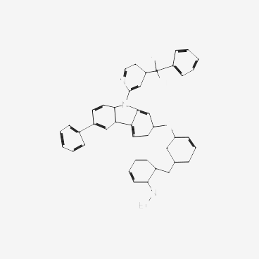 CCNC1C=CCCC1CC1CC=CC(OC2C=C3C(=CC2)C2C=C(c4ccccc4)C=CC2N3C2=CC(C(C)(C)c3ccccc3)CC=N2)C1